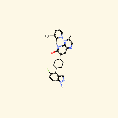 Cc1cnc2cc([C@H]3CC[C@H](c4c(F)ccc5c4cnn5C)CC3)c(=O)n(Cc3ncccc3C(F)(F)F)c2n1